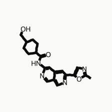 Cc1ncc(-c2cc3cc(NC(=O)C4CCC(CO)CC4)ncc3cn2)o1